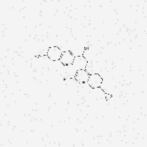 CC(C)c1cc(CC(C)c2ccc3c(c2)CCN(C)C3)c2c(c1)CN(C1CC1)CC2